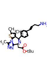 Cc1sc2c(c1C)C(c1ccc(C#CCCN)cc1)=N[C@@H](CC(=O)OC(C)(C)C)c1nnc(C)n1-2